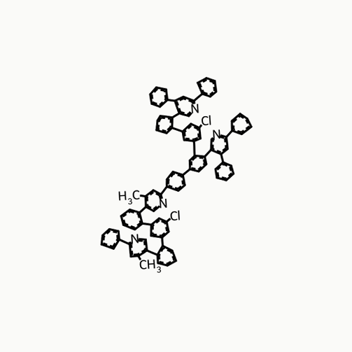 Cc1cc(-c2ccccc2)ncc1-c1ccccc1-c1cc(Cl)cc(-c2ccccc2-c2cnc(-c3ccc(-c4ccc(-c5cnc(-c6ccccc6)cc5-c5ccccc5)c(-c5cc(Cl)cc(-c6ccccc6-c6cnc(-c7ccccc7)cc6-c6ccccc6)c5)c4)cc3)cc2C)c1